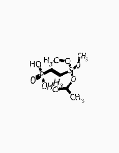 CO[Si](CCP(=O)(O)O)(OC)OC(C)C